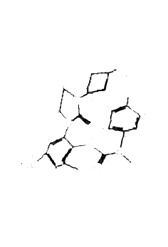 CN(C(=O)Oc1c(N2CCN(C3CC(O)C3)C2=O)cc(C(F)(F)F)cc1C(F)(F)F)c1ccc(F)cc1